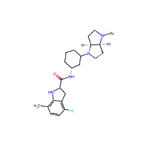 CC(=O)N1CC[C@H]2[C@@H]1CCN2C1CCC[C@@H](NC(=O)C2Cc3c(F)ccc(C)c3N2)C1